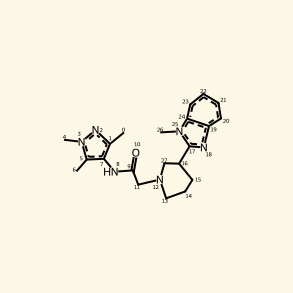 Cc1nn(C)c(C)c1NC(=O)CN1CCCC(c2nc3ccccc3n2C)C1